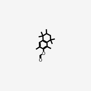 Cc1cc2c(c(C)c1OC=O)C(C)(C)CC(C)C2(C)C